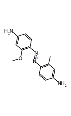 COc1cc(N)ccc1/N=N/c1ccc(N)cc1C